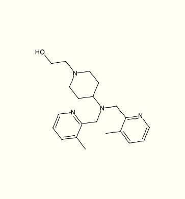 Cc1cccnc1CN(Cc1ncccc1C)C1CCN(CCO)CC1